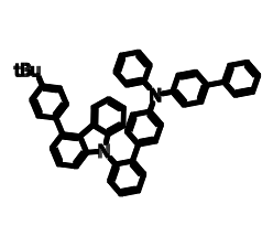 CC(C)(C)c1ccc(-c2cccc3c2c2ccccc2n3-c2ccccc2-c2ccc(N(c3ccccc3)c3ccc(-c4ccccc4)cc3)cc2)cc1